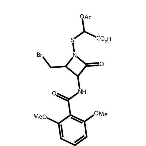 COc1cccc(OC)c1C(=O)NC1C(=O)N(SC(OC(C)=O)C(=O)O)C1CBr